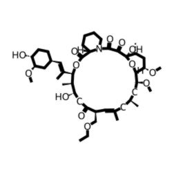 CCOC[C@@H]1/C=C(\C)C[C@H](C)C[C@H](OC)[C@H]2O[C@@](O)(C(=O)C(=O)N3CCCC[C@H]3C(=O)O[C@H](/C(C)=C/[C@@H]3CC[C@@H](O)[C@H](OC)C3)[C@H](C)[C@@H](O)CC1=O)[C@H](C)C[C@@H]2OC